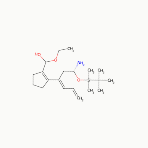 C=C/C=C(\C[C@H](N)O[Si](C)(C)C(C)(C)C)C1=C(C(O)OCC)CCC1